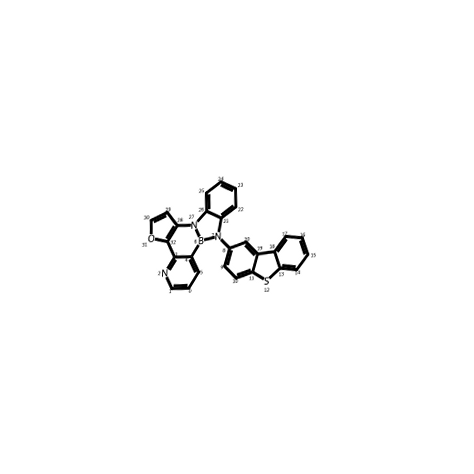 c1cnc2c(c1)B1N(c3ccc4sc5ccccc5c4c3)c3ccccc3N1c1ccoc1-2